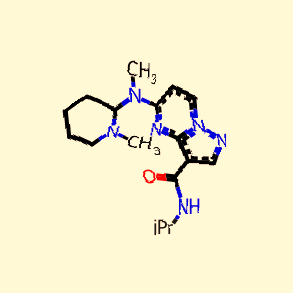 CC(C)NC(=O)c1cnn2ccc(N(C)C3CCCCN3C)nc12